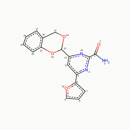 NC(=O)c1nc(-c2ccco2)cc(C2OCc3ccccc3O2)n1